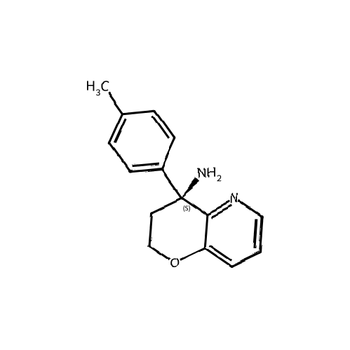 Cc1ccc([C@@]2(N)CCOc3cccnc32)cc1